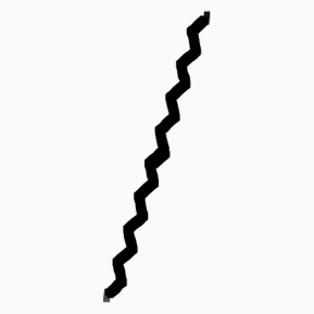 ICCCCCCCC=CCCCCCCCI